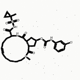 CN1CCCCC=CCCC(C(=O)NS(=O)(=O)C2(C)CC2)NC(=O)C2CC(OC(=O)Nc3cccc(Cl)c3)CC2C1=O